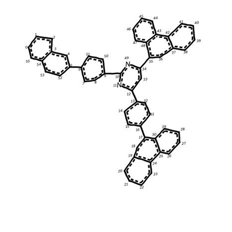 c1ccc2cc(-c3ccc(-c4nc(-c5ccc(-c6cc7ccccc7c7ccccc67)cc5)cc(-c5cc6ccccc6c6ccccc56)n4)cc3)ccc2c1